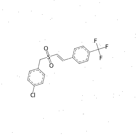 O=S(=O)(C=Cc1ccc(C(F)(F)F)cc1)Cc1ccc(Cl)cc1